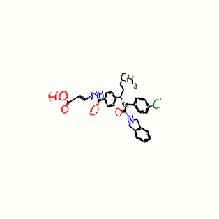 CCCC(c1ccc(C(=O)NCCC(=O)O)cc1)[C@@H](C(=O)N1Cc2ccccc2C1)c1ccc(Cl)cc1